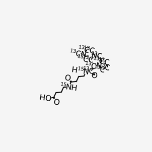 [13CH3]N1[13CH2][13CH2]N([13CH2][13CH]2[13CH2][13CH2][13CH2]N2[13CH2][13C](=O)[15NH]CCCC(=O)[15NH]CCCC(=O)O)[13CH2][13CH2]1